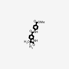 COC(=O)c1ccc(NC(=O)c2ccc3c(c2)NC(=O)C3(C)C)cc1